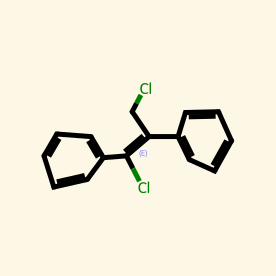 ClC/C(=C(/Cl)c1ccccc1)c1ccccc1